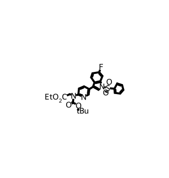 CCOC(=O)CN(C(=O)OC(C)(C)C)c1ccc(-c2cn(S(=O)(=O)c3ccccc3)c3cc(F)ccc23)cn1